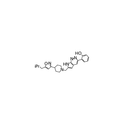 CC(C)Cc1cc(C2CCN(Cc3cc4cc(-c5ccccc5O)nnc4[nH]3)CC2)no1